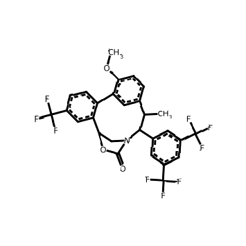 COc1ccc2cc1-c1ccc(C(F)(F)F)cc1C1CN(C(=O)O1)C(c1cc(C(F)(F)F)cc(C(F)(F)F)c1)C2C